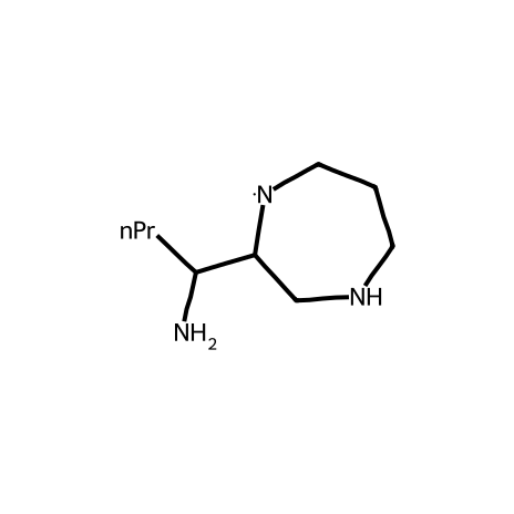 CCCC(N)C1CNCCC[N]1